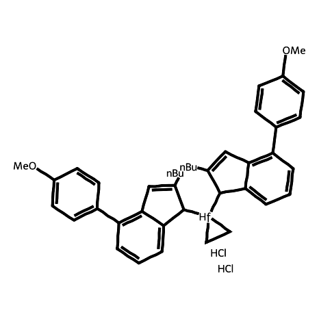 CCCCC1=Cc2c(-c3ccc(OC)cc3)cccc2[CH]1[Hf]1([CH]2C(CCCC)=Cc3c(-c4ccc(OC)cc4)cccc32)[CH2][CH2]1.Cl.Cl